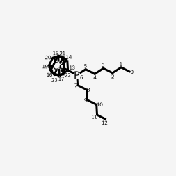 CCCCCCP(CCCCCC)[C]12[CH]3[CH]4[CH]5[CH]1[Co]45321678[CH]2[CH]1[CH]6[CH]7[CH]28